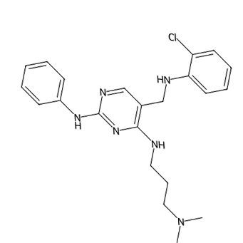 CN(C)CCCNc1nc(Nc2ccccc2)ncc1CNc1ccccc1Cl